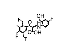 Cc1c(CF)c(CF)cc(C(=O)C(=CNc2ccc(F)cc2CO)C(=O)O)c1CF